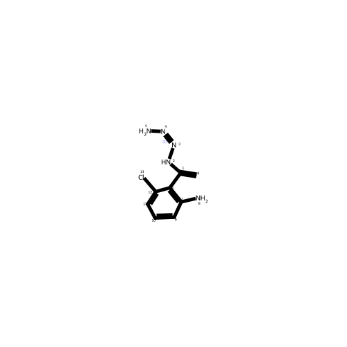 C=C(N/N=N\N)c1c(N)cccc1Cl